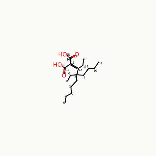 CCCCCC(CC)(CCCC)C(CC)=C(C(=O)O)C(=O)O